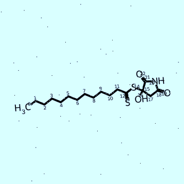 CCCCCCCCCCCCC(=S)SC1(O)CC(=O)NC1=O